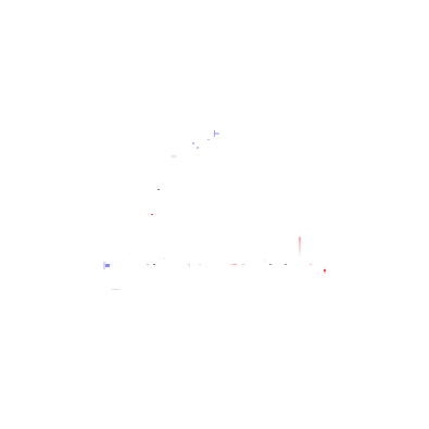 CNC(COCCN=[N+]=[N-])COCCOCCC(=O)O